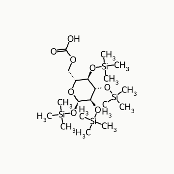 C[Si](C)(C)O[C@H]1O[C@H](COC(=O)O)[C@@H](O[Si](C)(C)C)[C@H](O[Si](C)(C)C)[C@H]1O[Si](C)(C)C